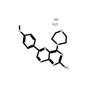 COc1ccc(-c2cnc3nc(N)nc(N4CCOCC4)c3n2)cc1.Cl.O